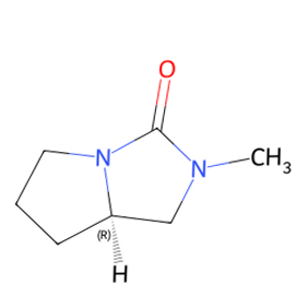 CN1C[C@H]2CCCN2C1=O